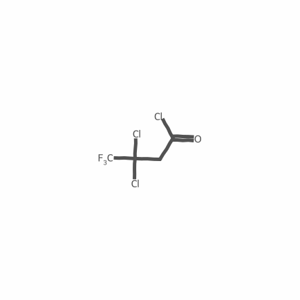 O=C(Cl)CC(Cl)(Cl)C(F)(F)F